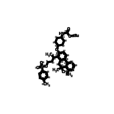 Cc1ccc(S(=O)(=O)OCCC(C)c2c(OC3CCC(NC(=O)OC(C)(C)C)CC3)ccc3c2CC(C)(C)c2c(N)ncnc2-3)cc1